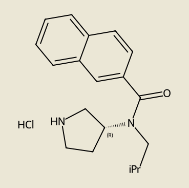 CC(C)CN(C(=O)c1ccc2ccccc2c1)[C@@H]1CCNC1.Cl